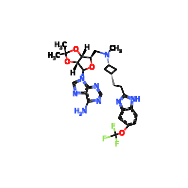 CN(C[C@H]1O[C@@H](n2cnc3c(N)ncnc32)[C@@H]2OC(C)(C)O[C@@H]21)[C@H]1C[C@@H](CCc2nc3cc(OC(F)(F)F)ccc3[nH]2)C1